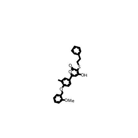 COc1ccccc1COc1ccc(-c2cc(O)c(SCCc3ccccc3)c(=O)o2)cc1C